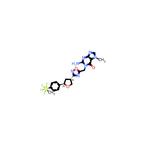 Cn1cnc2nc(N)n(Cc3nc([C@@H]4CO[C@@H](c5ccc(S(C)(F)(F)(F)F)cc5)C4)no3)c(=O)c21